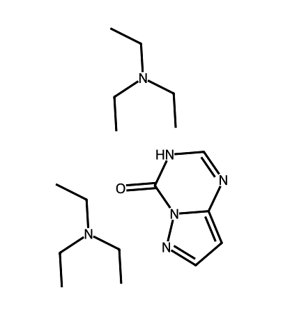 CCN(CC)CC.CCN(CC)CC.O=c1[nH]cnc2ccnn12